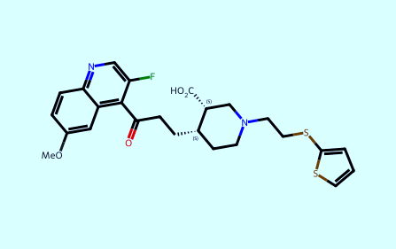 COc1ccc2ncc(F)c(C(=O)CC[C@H]3CCN(CCSc4cccs4)C[C@H]3C(=O)O)c2c1